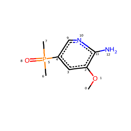 COc1cc(P(C)(C)=O)cnc1N